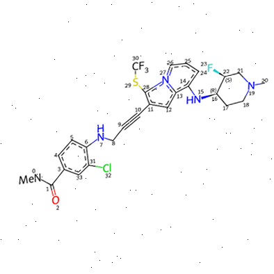 CNC(=O)c1ccc(NCC#Cc2cc3c(N[C@@H]4CCN(C)C[C@@H]4F)cccn3c2SC(F)(F)F)c(Cl)c1